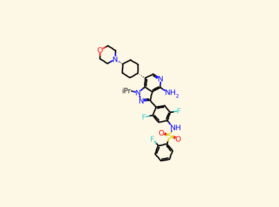 CC(C)n1nc(-c2cc(F)c(NS(=O)(=O)c3ccccc3F)cc2F)c2c(N)ncc([C@H]3CC[C@@H](N4CCOCC4)CC3)c21